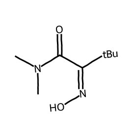 CN(C)C(=O)C(=NO)C(C)(C)C